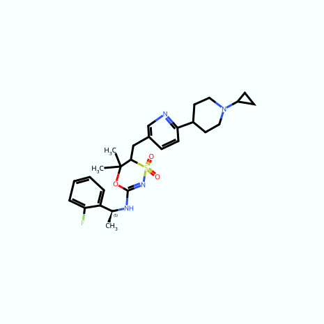 C[C@H](NC1=NS(=O)(=O)C(Cc2ccc(C3CCN(C4CC4)CC3)nc2)C(C)(C)O1)c1ccccc1F